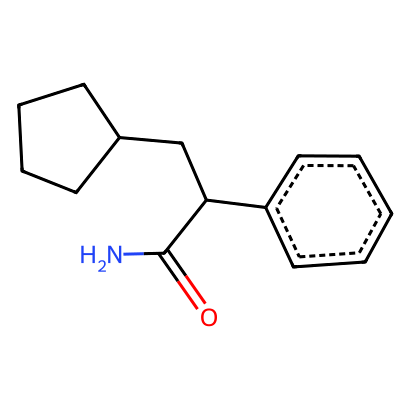 NC(=O)C(CC1CCCC1)c1ccccc1